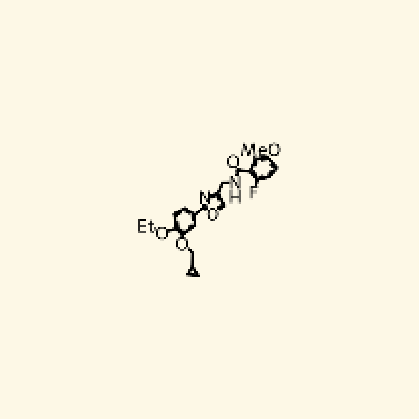 CCOc1ccc(-c2nc(CNC(=O)c3c(F)cccc3OC)co2)cc1OCC1CC1